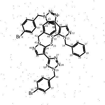 Brc1ccc(Cn2nnc(-c3cnn(Cc4ccccc4)c3SSc3c(-c4nnn(Cc5ccc(Br)cc5)n4)cnn3Cc3ccccc3)n2)cc1